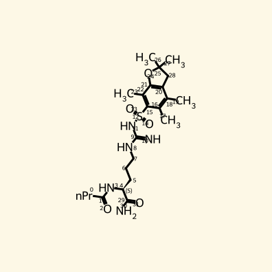 CCCC(=O)N[C@@H](CCCNC(=N)NS(=O)(=O)c1c(C)c(C)c2c(c1C)OC(C)(C)C2)C(N)=O